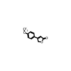 O=C1C=C(c2ccc(OC(F)(F)F)cc2)CO1